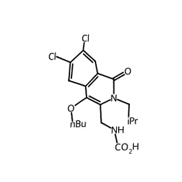 CCCCOc1c(CNC(=O)O)n(CC(C)C)c(=O)c2cc(Cl)c(Cl)cc12